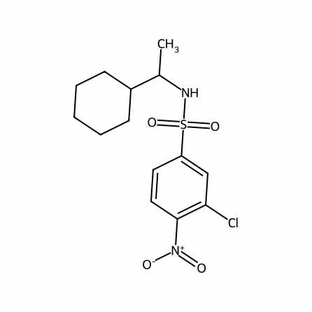 CC(NS(=O)(=O)c1ccc([N+](=O)[O-])c(Cl)c1)C1CCCCC1